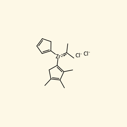 CC1=C(C)C(C)=[C]([Zr+2]([C]2=CC=CC2)=[C](C)C)C1.[Cl-].[Cl-]